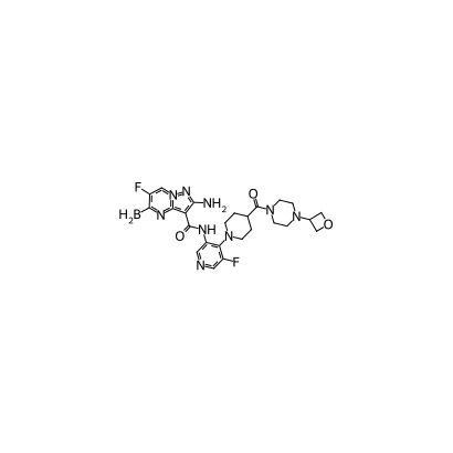 Bc1nc2c(C(=O)Nc3cncc(F)c3N3CCC(C(=O)N4CCN(C5COC5)CC4)CC3)c(N)nn2cc1F